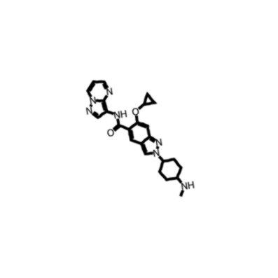 CNC1CCC(n2cc3cc(C(=O)Nc4cnn5cccnc45)c(OC4CC4)cc3n2)CC1